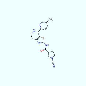 Cc1ccc(C2NCCc3nc(NC(=O)C4CCN(C#N)C4)sc32)nc1